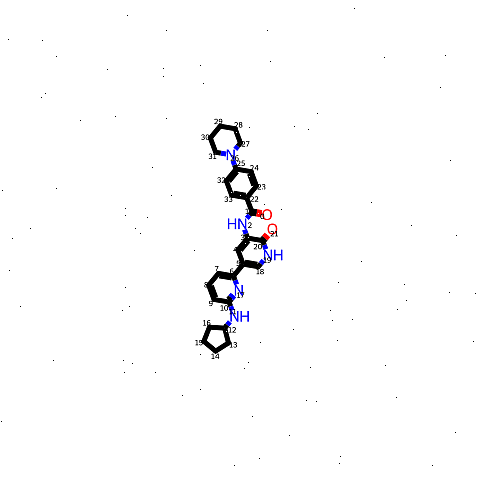 O=C(Nc1cc(-c2cccc(NC3CCCC3)n2)c[nH]c1=O)c1ccc(N2CCCCC2)cc1